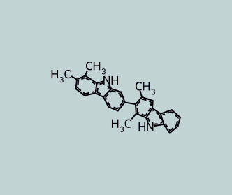 Cc1cc2c([nH]c3ccccc32)c(C)c1-c1ccc2c(c1)[nH]c1c(C)c(C)ccc12